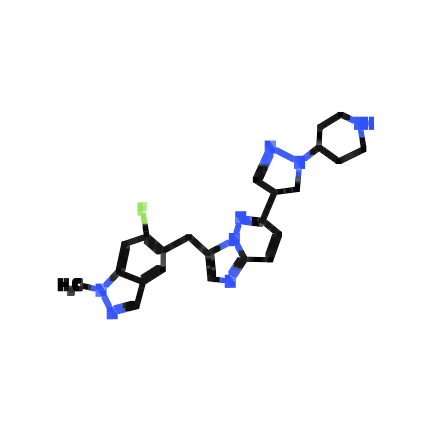 Cn1ncc2cc(Cc3cnc4ccc(C5C=NN(C6CCNCC6)C5)nn34)c(F)cc21